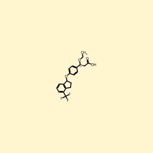 CCO[C@@H](CC(=O)O)c1ccc(OC2CCc3c2cccc3C(F)(F)F)cc1